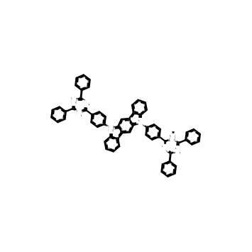 CN1C(c2ccccc2)=NC(c2ccccc2)=NC1c1ccc(-n2c3ccccc3c3cc4c(cc32)c2ccccc2n4-c2ccc(-c3nc(-c4ccccc4)nc(-c4ccccc4)n3)cc2)cc1